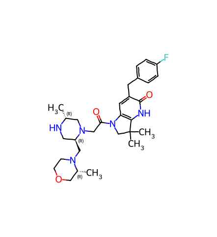 C[C@@H]1CN(CC(=O)N2CC(C)(C)c3[nH]c(=O)c(Cc4ccc(F)cc4)cc32)[C@@H](CN2CCOC[C@H]2C)CN1